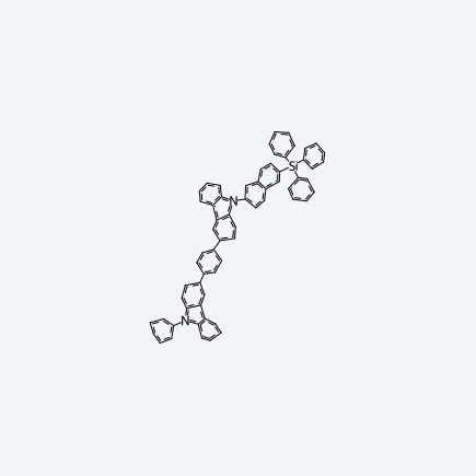 c1ccc(-n2c3ccccc3c3cc(-c4ccc(-c5ccc6c(c5)c5ccccc5n6-c5ccc6cc([Si](c7ccccc7)(c7ccccc7)c7ccccc7)ccc6c5)cc4)ccc32)cc1